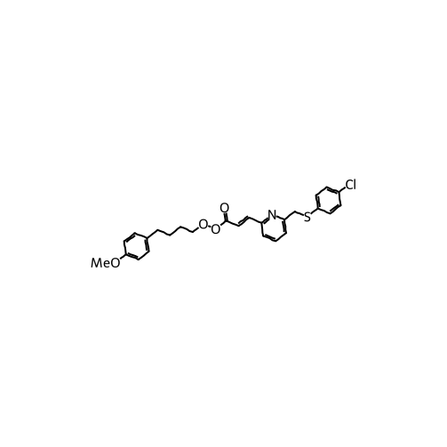 COc1ccc(CCCCOOC(=O)C=Cc2cccc(CSc3ccc(Cl)cc3)n2)cc1